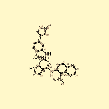 COc1ccc(-c2cnn(C)c2)cc1Nc1nc(Nc2ccc3nccnc3c2N(C)C)c2cc[nH]c2n1